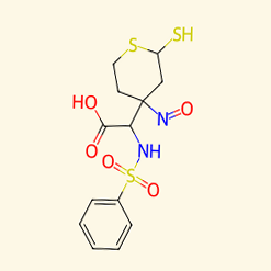 O=NC1(C(NS(=O)(=O)c2ccccc2)C(=O)O)CCSC(S)C1